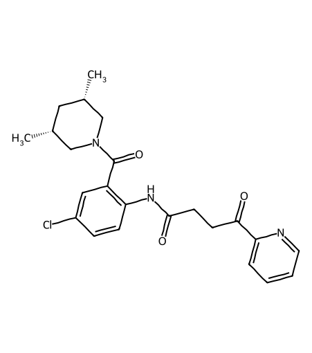 C[C@@H]1C[C@H](C)CN(C(=O)c2cc(Cl)ccc2NC(=O)CCC(=O)c2ccccn2)C1